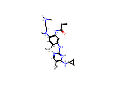 C=CC(=O)Nc1cc(Nc2ncc(C#N)c(NC3CC3)n2)c(OC)cc1N(C)CCN(C)C